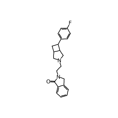 O=C1c2ccccc2CN1CCN1CC2CC(c3ccc(F)cc3)C2C1